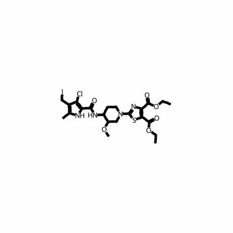 CCOC(=O)c1nc(N2CCC(NC(=O)c3[nH]c(C)c(CI)c3Cl)C(OC)C2)sc1C(=O)OCC